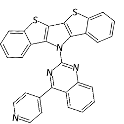 c1ccc2c(-c3ccncc3)nc(-n3c4c5ccccc5sc4c4sc5ccccc5c43)nc2c1